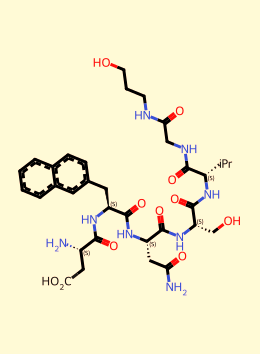 CC(C)[C@H](NC(=O)[C@H](CO)NC(=O)[C@H](CC(N)=O)NC(=O)[C@H](Cc1ccc2ccccc2c1)NC(=O)[C@@H](N)CC(=O)O)C(=O)NCC(=O)NCCCO